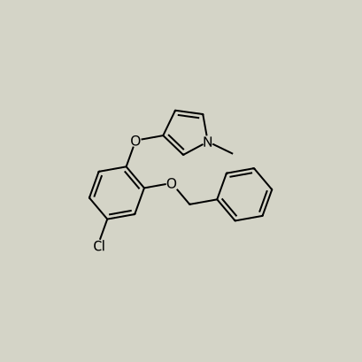 Cn1ccc(Oc2ccc(Cl)cc2OCc2ccccc2)c1